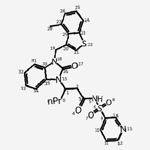 CCCC(CC(=O)NS(=O)(=O)c1cccnc1)n1c(=O)n(Cc2csc3cccc(C)c23)c2ccccc21